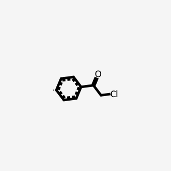 O=C(CCl)c1cc[c]cc1